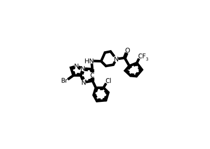 O=C(c1ccccc1C(F)(F)F)N1CCC(Nc2cc(-c3ccccc3Cl)nc3c(Br)cnn23)CC1